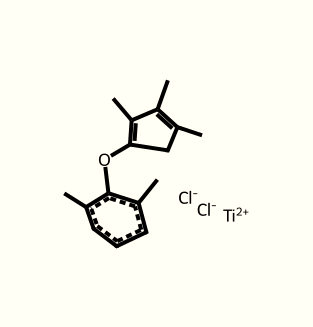 CC1=C(C)C(C)=C(Oc2c(C)cccc2C)C1.[Cl-].[Cl-].[Ti+2]